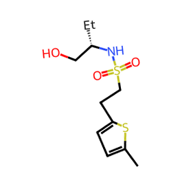 CC[C@@H](CO)NS(=O)(=O)CCc1ccc(C)s1